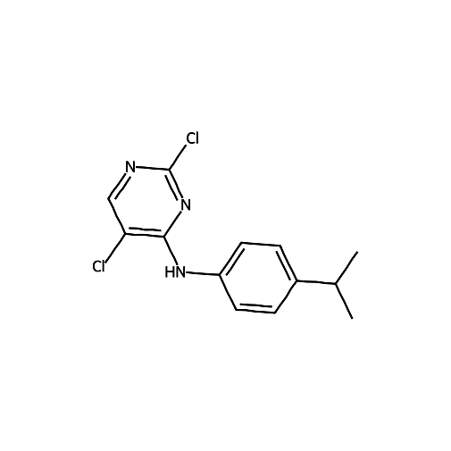 CC(C)c1ccc(Nc2nc(Cl)ncc2Cl)cc1